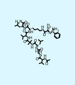 CC(=O)NC(C(=O)NCC(=O)N[C@@H](CC(C)C)C(=O)NC(C)(C)C(=O)NC(C(=O)N[C@@H](CCCCNC(=O)/C(N)=N/N(N)c1ccccc1)C(=O)N[C@@H](CC(C)C)C(N)=O)C(C)C)C(C)C